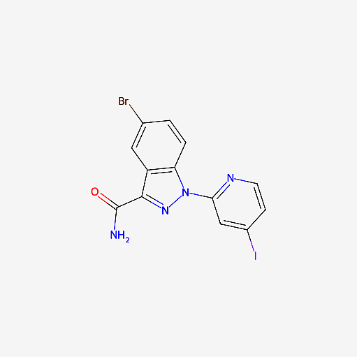 NC(=O)c1nn(-c2cc(I)ccn2)c2ccc(Br)cc12